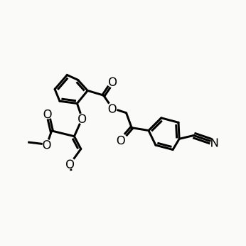 COC=C(Oc1ccccc1C(=O)OCC(=O)c1ccc(C#N)cc1)C(=O)OC